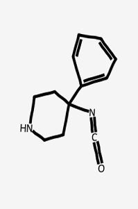 O=C=NC1(c2ccccc2)CCNCC1